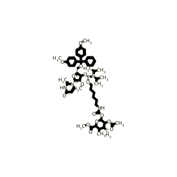 C=C1NC(=O)C=CN1[C@@H]1O[C@H](COC(c2ccccc2)(c2ccc(OC)cc2)c2ccc(OC)cc2)C(OP(OCCCCCCNC(=O)OC2OC(C(=O)OC)C(C)C(C)C2OC(C)=O)N(C(C)C)C(C)C)[C@@H]1OC